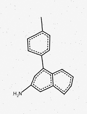 Cc1ccc(-c2cc(N)cc3ccccc23)cc1